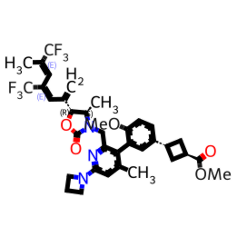 C=C(/C=C(\C=C(/C)C(F)(F)F)C(F)(F)F)[C@H]1OC(=O)N(Cc2nc(N3CCC3)cc(C)c2-c2cc([C@H]3C[C@H](C(=O)OC)C3)ccc2OC)[C@H]1C